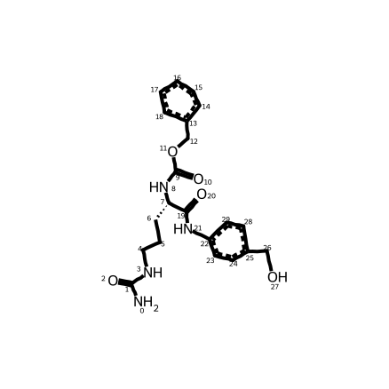 NC(=O)NCCC[C@H](NC(=O)OCc1ccccc1)C(=O)Nc1ccc(CO)cc1